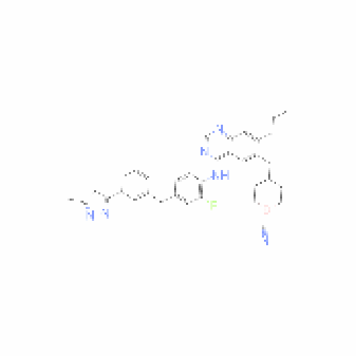 CCCc1cc2ncnc(Nc3ccc(Cc4cccc(C5=NN=C(C)C5)c4)cc3F)c2cc1CC1CCB(C#N)CC1